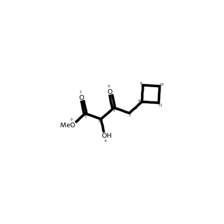 COC(=O)C(O)C(=O)CC1CCC1